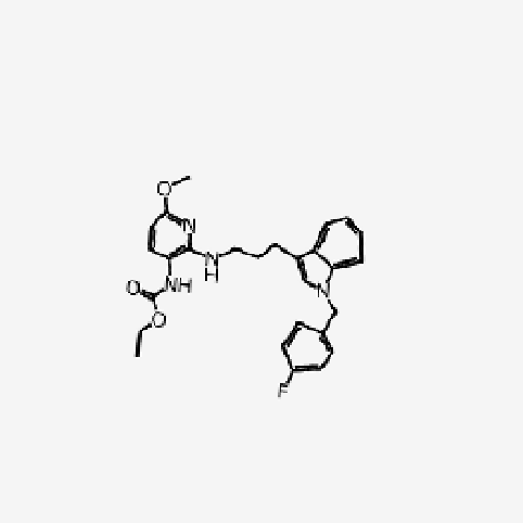 CCOC(=O)Nc1ccc(OC)nc1NCCCc1cn(Cc2ccc(F)cc2)c2ccccc12